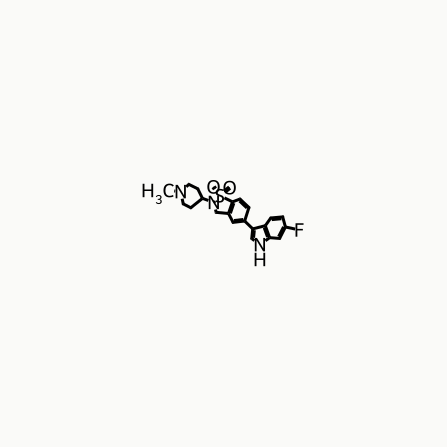 CN1CCC(N2Cc3cc(-c4c[nH]c5cc(F)ccc45)ccc3S2(=O)=O)CC1